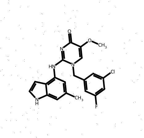 COc1cn(Cc2cc(F)cc(Cl)c2)c(Nc2cc(C)cc3[nH]ccc23)nc1=O